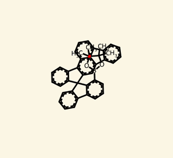 CC1(C)OB(c2cccc3c2C2(c4ccccc4-3)c3ccccc3-c3c2cc2c4c(cccc34)-c3ccccc3-2)OC1(C)C